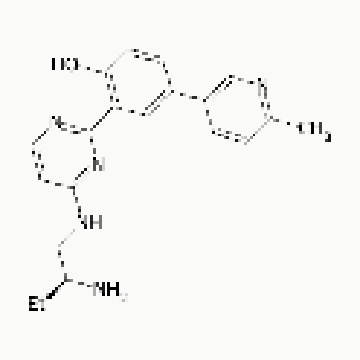 CC[C@H](N)CNc1ccnc(-c2cc(-c3ccc(C)nc3)ccc2O)n1